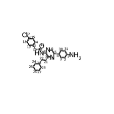 Nc1ccc(-c2cnc(NC(=O)Cc3ccc(Cl)cc3)c(/C=C/c3ccccc3)n2)cc1